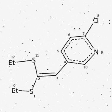 CCSC(=Cc1ccc(Cl)nc1)SCC